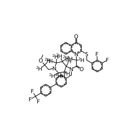 [2H]C([2H])(CN1C([2H])([2H])C([2H])([2H])C([2H])(N(Cc2ccc(-c3ccc(C(F)(F)F)cc3)cc2)C(=O)C([2H])([2H])n2c(SCc3cccc(F)c3F)cc(=O)c3ccccc32)C([2H])([2H])C1([2H])[2H])OC